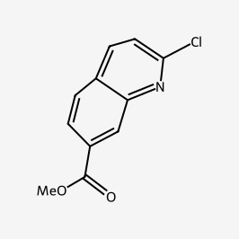 COC(=O)c1ccc2ccc(Cl)nc2c1